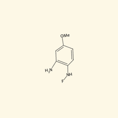 COc1ccc(NF)c(N)c1